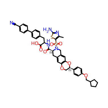 Cc1nc(N)sc1S(=O)(=O)N1Cc2cc3c(cc2C[C@H]1C(=O)NC(Cc1ccc(-c2ccc(C#N)cc2)cc1)C(=O)O)OC[C@H](c1ccc(OCC2CCCC2)cc1)O3